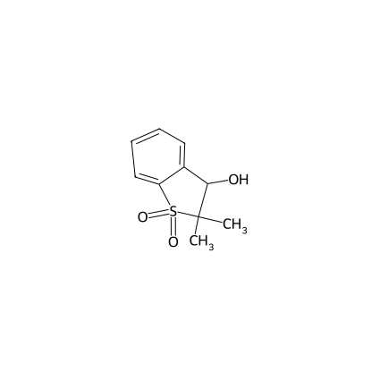 CC1(C)C(O)c2ccccc2S1(=O)=O